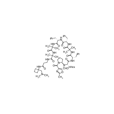 CCCCCC[C@@H](C(=O)N[C@@H](CC(C)C)C(=O)NC(C)(C)C(=O)N[C@@H](CC(C)C)C(=O)N[C@@H](CC(C)C)C(=O)NC(C)(C)C(=O)NC(C)(C)C(=O)NCCC(=O)NC1(CN(C)C)CCC1)N(C=O)[C@@H]1CCCN1C(=O)c1coc(C)n1